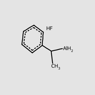 C[CH]([AlH2])c1ccccc1.F